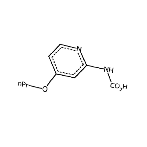 CCCOc1ccnc(NC(=O)O)c1